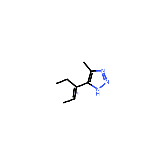 C/C=C(\CC)c1[nH]nnc1C